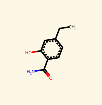 CCc1ccc(C(N)=O)c(O)c1